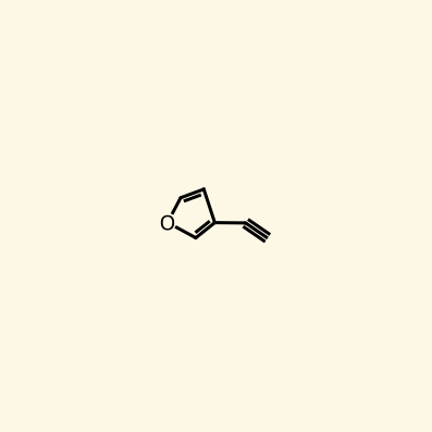 C#Cc1ccoc1